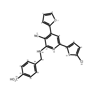 N#Cc1c(-c2ccco2)cc(-c2ccc(Cl)s2)nc1NCc1ccc(C(=O)O)cc1